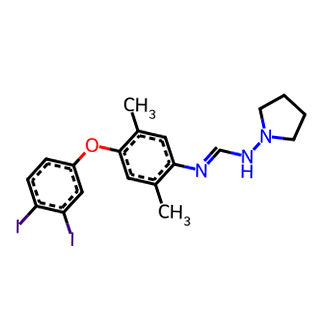 Cc1cc(Oc2ccc(I)c(I)c2)c(C)cc1/N=C/NN1CCCC1